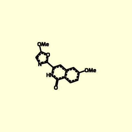 COc1ccc2c(=O)[nH]c(-c3ncc(OC)o3)cc2c1